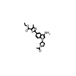 CCOC(=O)c1sc(-c2ccc3c(c2)c(N)cn3C2CCN(C(C)=O)C2)nc1C